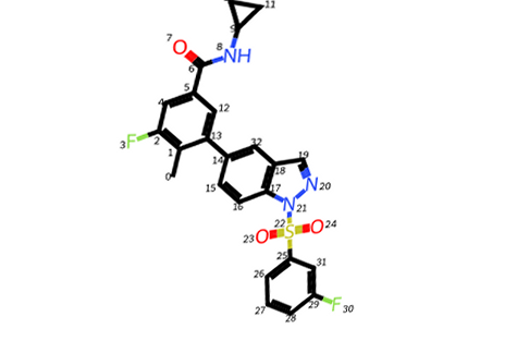 Cc1c(F)cc(C(=O)NC2CC2)cc1-c1ccc2c(cnn2S(=O)(=O)c2cccc(F)c2)c1